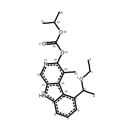 CCOC(C)c1cccc2[nH]c3cnc(OC(=O)OC(C)C)c(C)c3c12